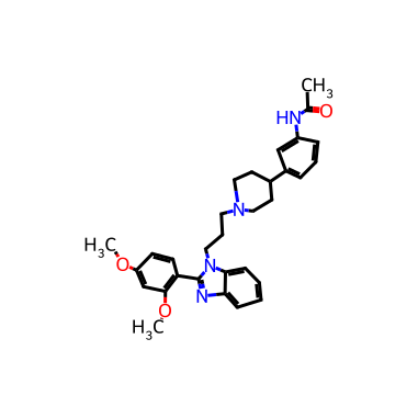 COc1ccc(-c2nc3ccccc3n2CCCN2CCC(c3cccc(NC(C)=O)c3)CC2)c(OC)c1